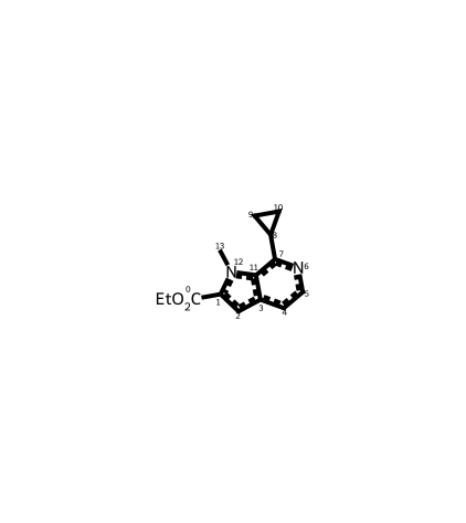 CCOC(=O)c1cc2ccnc(C3CC3)c2n1C